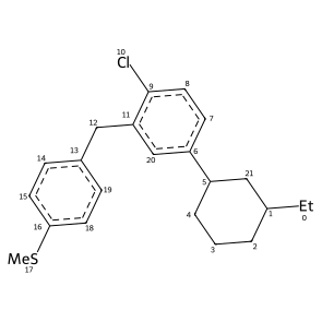 CCC1CCCC(c2ccc(Cl)c(Cc3ccc(SC)cc3)c2)C1